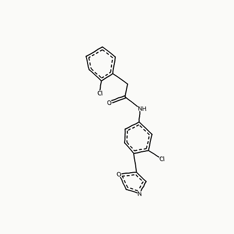 O=C(Cc1ccccc1Cl)Nc1ccc(-c2cnco2)c(Cl)c1